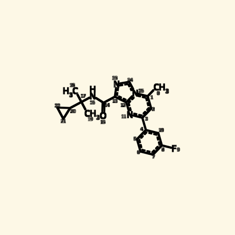 Cc1cc(-c2cccc(F)c2)nc2c(C(=O)NC(C)(C)C3CC3)ncn12